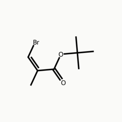 CC(=CBr)C(=O)OC(C)(C)C